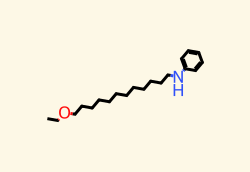 CCOCCCCCCCCCCCCNc1ccccc1